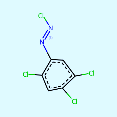 Cl/N=N/c1cc(Cl)c(Cl)cc1Cl